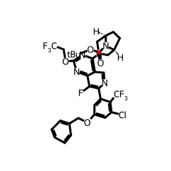 CC(C)(C)OC(=O)N1[C@@H]2CC[C@H]1CN(c1nc(OCC(F)(F)F)nc3c(F)c(-c4cc(OCc5ccccc5)cc(Cl)c4C(F)(F)F)ncc13)C2